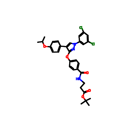 CC(C)Oc1ccc(-c2cn(-c3cc(Cl)cc(Cl)c3)nc2Oc2ccc(C(=O)NCCC(=O)OC(C)(C)C)cc2)cc1